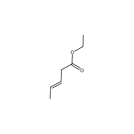 C/C=C/[CH]C(=O)OCC